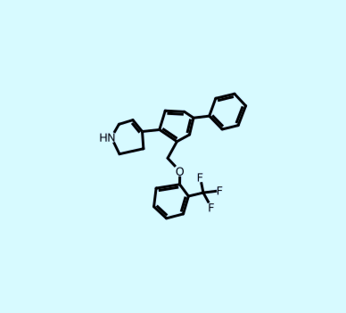 FC(F)(F)c1ccccc1OCc1cc(-c2ccccc2)ccc1C1=CCNCC1